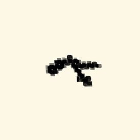 CCN(CC(CCCCNC(=O)O)OCCOCCOC)C(=O)OCc1ccc(-c2ccccn2)nc1